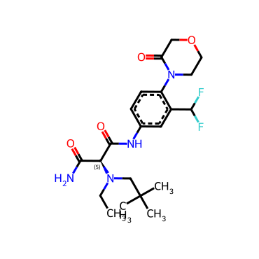 CCN(CC(C)(C)C)[C@@H](C(N)=O)C(=O)Nc1ccc(N2CCOCC2=O)c(C(F)F)c1